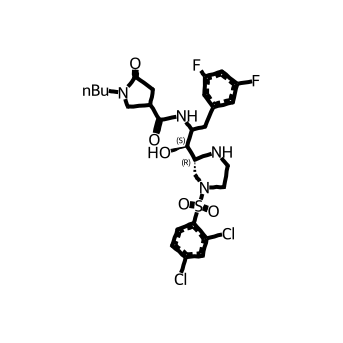 CCCCN1CC(C(=O)NC(Cc2cc(F)cc(F)c2)[C@H](O)[C@H]2CN(S(=O)(=O)c3ccc(Cl)cc3Cl)CCN2)CC1=O